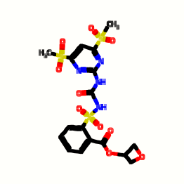 CS(=O)(=O)c1cc(S(C)(=O)=O)nc(NC(=O)NS(=O)(=O)c2ccccc2C(=O)OC2COC2)n1